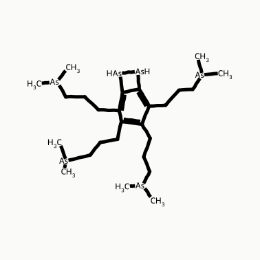 C[As](C)CCCc1c(CCC[As](C)C)c(CCC[As](C)C)c2c(c1CCC[As](C)C)[AsH][AsH]2